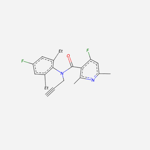 C#CCN(C(=O)c1c(F)cc(C)nc1C)c1c(CC)cc(F)cc1CC